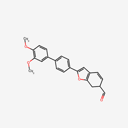 COc1ccc(-c2ccc(-c3cc4c(o3)CC(C=O)C=C4)cc2)cc1OC